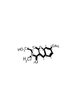 CC(=O)Oc1ccc2cc(C(=O)N(C)CC(=O)O)c(=O)oc2c1